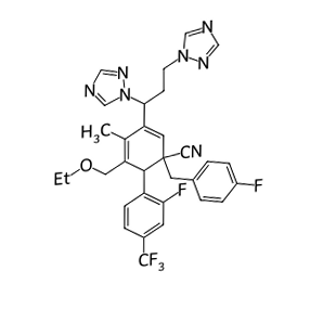 CCOCC1=C(C)C(C(CCn2cncn2)n2cncn2)=CC(C#N)(Cc2ccc(F)cc2)C1c1ccc(C(F)(F)F)cc1F